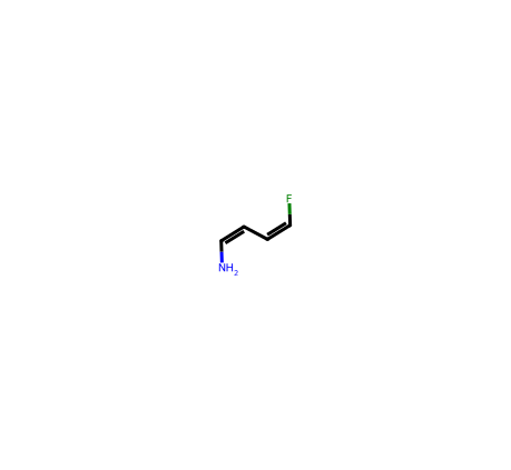 N/C=C\C=C/F